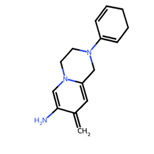 C=C1C=C2CN(C3=CCCC=C3)CCN2C=C1N